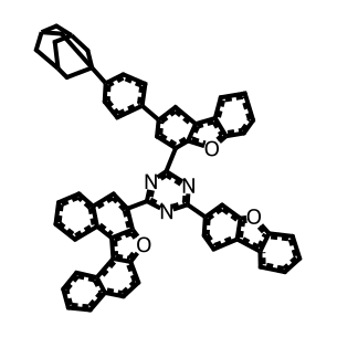 c1ccc2c(c1)ccc1oc3c(-c4nc(-c5ccc6c(c5)oc5ccccc56)nc(-c5cc(-c6ccc(C78CC9CC(CC(C9)C7)C8)cc6)cc6c5oc5ccccc56)n4)cc4ccccc4c3c12